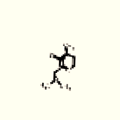 CN(C)CC1C(=O)C2(C)CCN1CC2